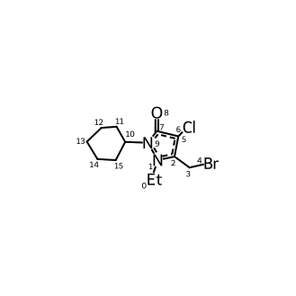 CCn1c(CBr)c(Cl)c(=O)n1C1CCCCC1